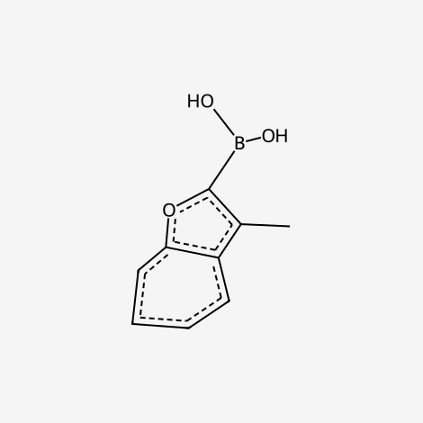 Cc1c(B(O)O)oc2ccccc12